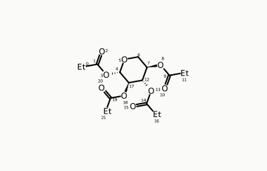 CCC(=O)O[C@@H]1OC[C@@H](OC(=O)CC)[C@H](OC(=O)CC)[C@H]1OC(=O)CC